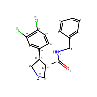 O=C(NCc1ccccc1)[C@@H]1CNC[C@H]1c1ccc(Cl)c(Cl)c1